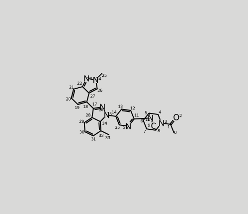 CC(=O)N1CC2CCC1CN2c1ccc(-n2nc(-c3cccc4nn(C)cc34)c3cccc(C)c32)cn1